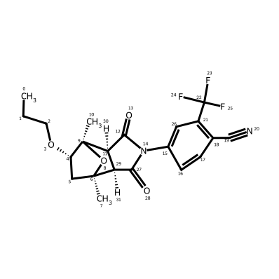 CCCO[C@H]1C[C@@]2(C)O[C@]1(C)[C@H]1C(=O)N(c3ccc(C#N)c(C(F)(F)F)c3)C(=O)[C@H]12